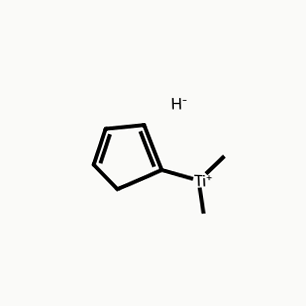 [CH3][Ti+]([CH3])[C]1=CC=CC1.[H-]